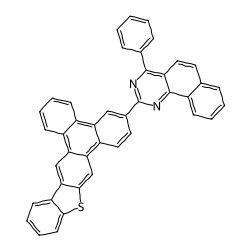 c1ccc(-c2nc(-c3ccc4c(c3)c3ccccc3c3cc5c(cc43)sc3ccccc35)nc3c2ccc2ccccc23)cc1